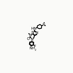 CN1C(=O)N(c2ccc(N)c(F)c2)Cc2cnc(NC3CCC(N(C)C)CC3)nc21